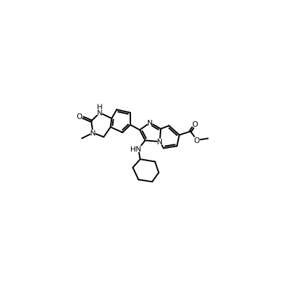 COC(=O)c1ccn2c(NC3CCCCC3)c(-c3ccc4c(c3)CN(C)C(=O)N4)nc2c1